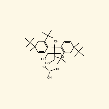 CC(C)(C)C1=C(C(O)(C2=C(C(C)(C)C)CC(C)(C(C)(C)C)C=C2)C(CO)(CO)CO)C=CC(C)(C(C)(C)C)C1.OP(O)O